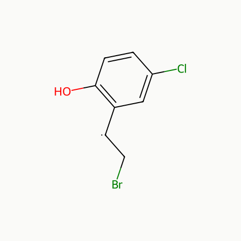 Oc1ccc(Cl)cc1[CH]CBr